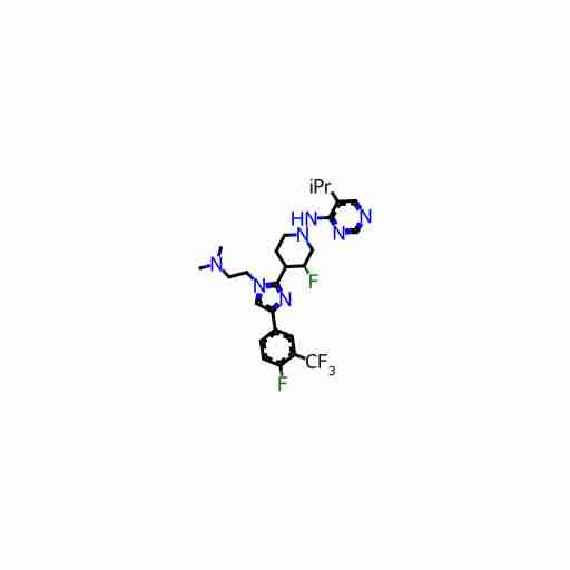 CC(C)c1cncnc1NN1CCC(c2nc(-c3ccc(F)c(C(F)(F)F)c3)cn2CCN(C)C)[C@H](F)C1